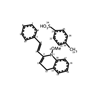 CON1C(C=Cc2ccccc2)=CCc2ccccc21.Cc1ccc(S(=O)(=O)O)cc1